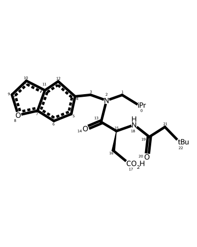 CC(C)CN(Cc1ccc2occc2c1)C(=O)[C@H](CC(=O)O)NC(=O)CC(C)(C)C